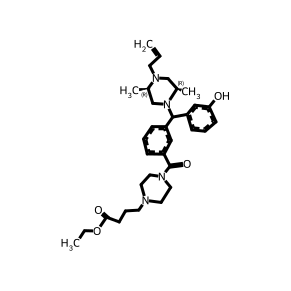 C=CCN1C[C@@H](C)N(C(c2cccc(O)c2)c2cccc(C(=O)N3CCN(CCCC(=O)OCC)CC3)c2)C[C@H]1C